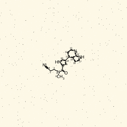 CN(CCC#N)C(=O)c1cc(-c2ccnc3[nH]ccc23)c[nH]1